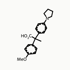 COc1ccc(C(C)(C(=O)O)c2ccc(N3CCCC3)cc2)cc1